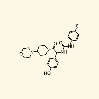 O=C(Nc1ccc(Cl)cc1)NC(C(=O)N1CCC(N2CCOCC2)CC1)c1ccc(O)cc1